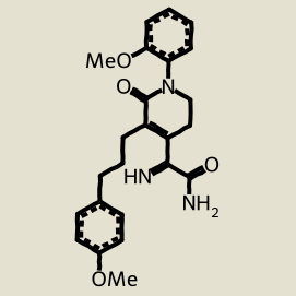 COc1ccc(CCCC2=C(C(=N)C(N)=O)CCN(c3ccccc3OC)C2=O)cc1